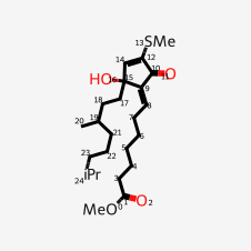 COC(=O)CCCCCC=C1C(=O)C(SC)=CC1(O)CCC(C)CCCC(C)C